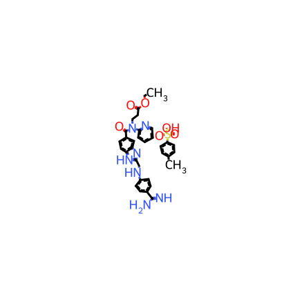 CCOC(=O)CCN(C(=O)c1ccc2[nH]c(CNc3ccc(C(=N)N)cc3)nc2c1)c1ccccn1.Cc1ccc(S(=O)(=O)O)cc1